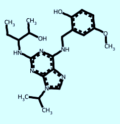 CCC(Nc1nc(NCc2cc(OC)ccc2O)c2ncn(C(C)C)c2n1)C(C)O